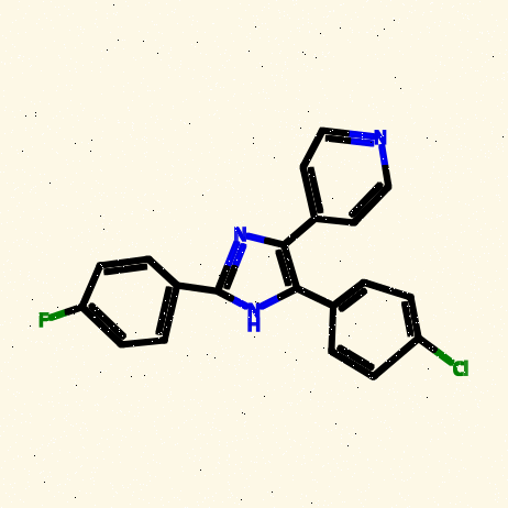 Fc1ccc(-c2nc(-c3ccncc3)c(-c3ccc(Cl)cc3)[nH]2)cc1